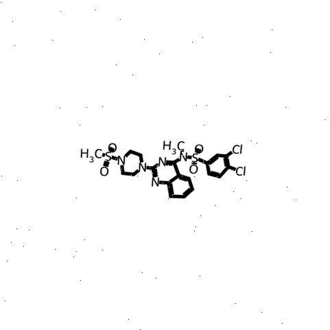 CN(c1nc(N2CCN(S(C)(=O)=O)CC2)nc2ccccc12)S(=O)(=O)c1ccc(Cl)c(Cl)c1